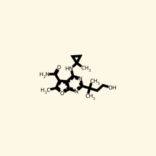 Cc1oc2nc(C(C)(C)CCO)nc(NC3(C)CC3)c2c1C(N)=O